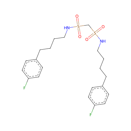 O=S(=O)(CS(=O)(=O)NCCCCc1ccc(F)cc1)NCCCCc1ccc(F)cc1